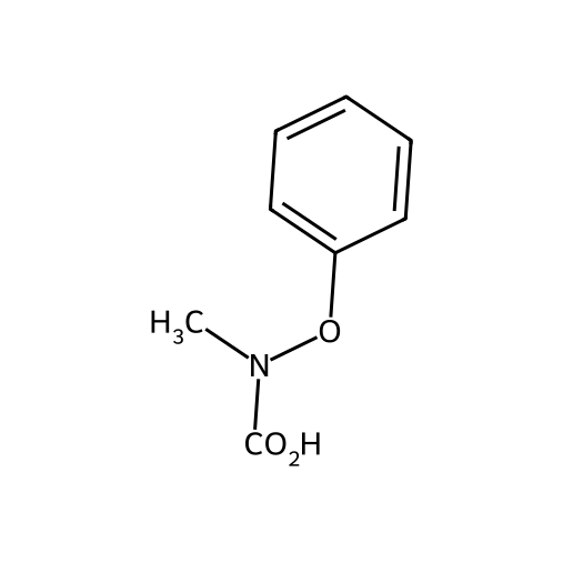 CN(Oc1ccccc1)C(=O)O